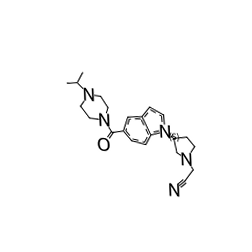 CC(C)N1CCN(C(=O)c2ccc3c(ccn3[C@H]3CCN(CC#N)C3)c2)CC1